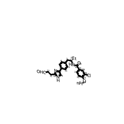 [CH2]C[C@@H](Cc1ccc(-c2c[nH]c(CCC=O)n2)cc1)NC(=O)c1ccc(OCCC)c(Cl)c1